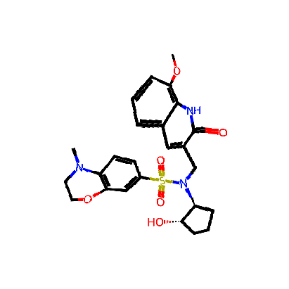 COc1cccc2cc(CN([C@H]3CCC[C@@H]3O)S(=O)(=O)c3ccc4c(c3)OCCN4C)c(=O)[nH]c12